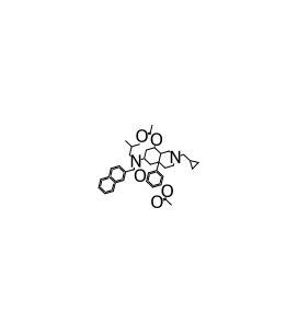 CC(=O)Oc1cccc(C23CCN(CC4CC4)CC2C(OC(C)=O)CC(N(CC(C)C)C(=O)c2ccc4ccccc4c2)C3)c1